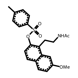 COc1ccc2ccc(OS(=O)(=O)c3ccc(C)cc3)c(CCNC(C)=O)c2c1